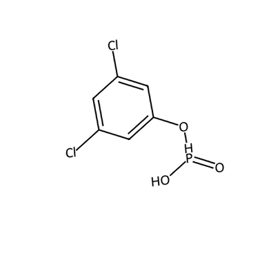 O=[PH](O)Oc1cc(Cl)cc(Cl)c1